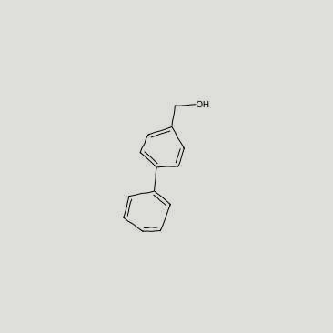 OCc1ccc(-c2[c]cccc2)cc1